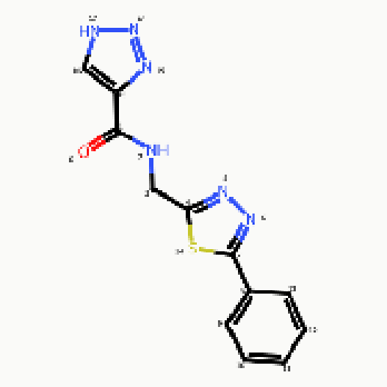 O=C(NCc1nnc(-c2ccccc2)s1)c1c[nH]nn1